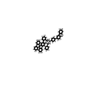 c1ccc(-c2nc(-c3ccc(-c4ccc5oc6ccccc6c5c4)cc3)nc(-c3ccccc3-c3ccc4c(c3)C3(c5ccccc5-c5ccccc53)c3ccccc3-4)n2)cc1